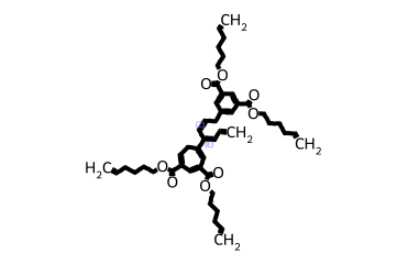 C=C/C=C(\C=C/Cc1cc(C(=O)OCCCCC=C)cc(C(=O)OCCCCC=C)c1)C1=CC(C(=O)OCCCCC=C)=CC(C(=O)OCCCCC=C)=CC1